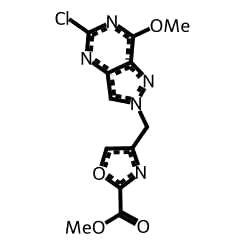 COC(=O)c1nc(Cn2cc3nc(Cl)nc(OC)c3n2)co1